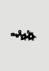 CC(C)(C)OC(=O)N1CC=C(c2ccccc2F)C1